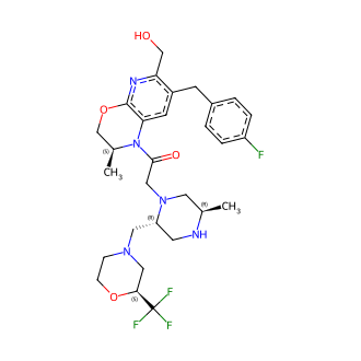 C[C@@H]1CN(CC(=O)N2c3cc(Cc4ccc(F)cc4)c(CO)nc3OC[C@@H]2C)[C@@H](CN2CCO[C@H](C(F)(F)F)C2)CN1